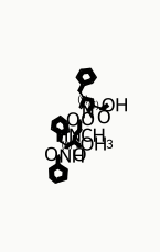 CC(NC(C(=O)O)[C@H](Cc1ccccc1)NC(=O)c1ccccc1)C(=O)ON1C[C@@H](Cc2ccccc2)C[C@H]1C(=O)O